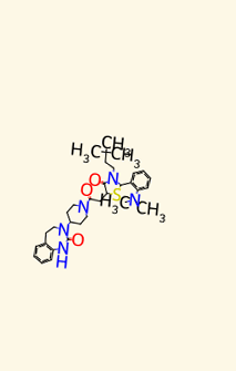 CN(C)c1ccccc1C1SC(CC(=O)N2CCC(N3CCc4ccccc4NC3=O)CC2)C(=O)N1CCC(C)(C)C